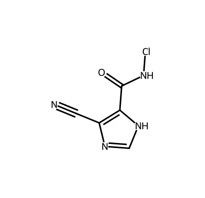 N#Cc1nc[nH]c1C(=O)NCl